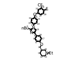 CCCCc1nc(-c2ccc(OC[C@@H]3CCCN(CC)C3)cc2)cn1-c1ccc(Oc2ccc(F)c(C(F)(F)F)c2)cc1